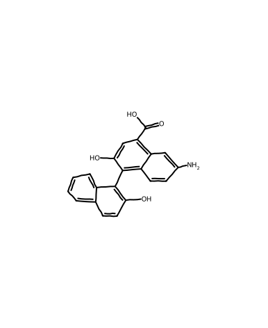 Nc1ccc2c(-c3c(O)ccc4ccccc34)c(O)cc(C(=O)O)c2c1